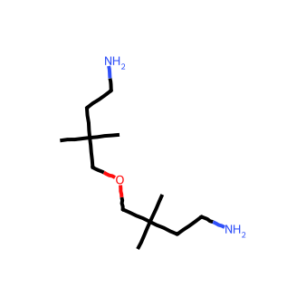 CC(C)(CCN)COCC(C)(C)CCN